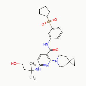 CC(C)(CCO)Nc1ccc(C(=O)Nc2cccc(S(=O)(=O)C3CCCC3)c2)c(N2CCC3(CC2)CC3)n1